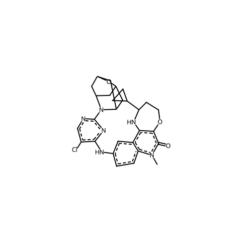 Cn1c(=O)c2c(c3cc(Nc4nc(N5C6CC7CC5CC(C6)O7)ncc4Cl)ccc31)NC(C1CC1)CCO2